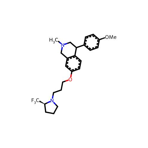 COc1ccc(C2CN(C)Cc3cc(OCCCN4CCC[C@H]4C(F)(F)F)ccc32)cc1